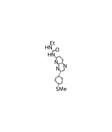 CCNC(=O)Nc1ccc2ncc(-c3ccc(SC)cc3)nc2n1